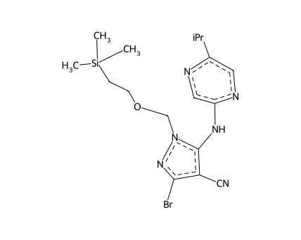 CC(C)c1cnc(Nc2c(C#N)c(Br)nn2COCC[Si](C)(C)C)cn1